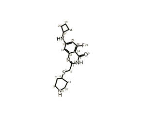 O=c1[nH]c(CSC2CCNCC2)nc2cc(NC3CCC3)cc(F)c12